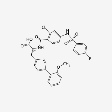 COc1ccccc1-c1ccc(C[C@H](NC(=O)c2ccc(NS(=O)(=O)c3ccc(F)cc3)cc2Cl)C(=O)O)cc1